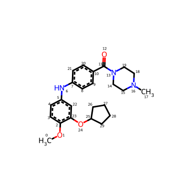 COc1ccc(Nc2ccc(C(=O)N3CCN(C)CC3)cc2)cc1OC1CCCC1